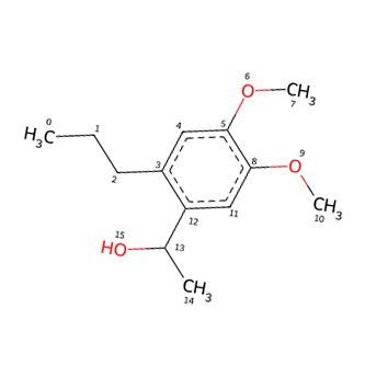 CCCc1cc(OC)c(OC)cc1C(C)O